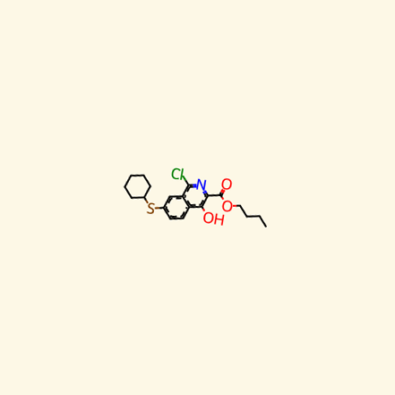 CCCCOC(=O)c1nc(Cl)c2cc(SC3CCCCC3)ccc2c1O